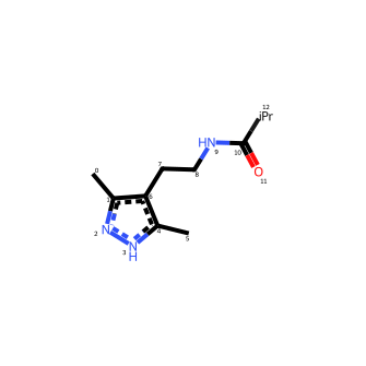 Cc1n[nH]c(C)c1CCNC(=O)C(C)C